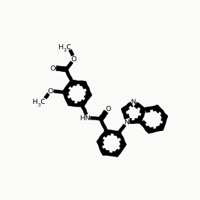 COC(=O)c1ccc(NC(=O)c2ccccc2-n2cnc3ccccc32)cc1OC